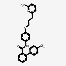 Nc1cccc(CCCOc2ccc(NC(=O)c3ccccc3-c3ccc(C(F)(F)F)cc3)cc2)n1